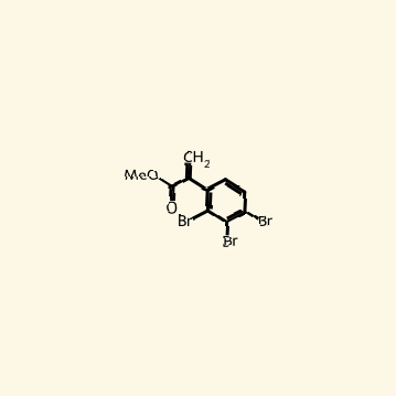 C=C(C(=O)OC)c1ccc(Br)c(Br)c1Br